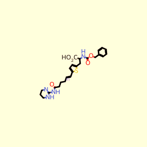 O=C(CCC/C=C/c1ccc(CC(NC(=O)OCc2ccccc2)C(=O)O)s1)NC1=NCCCN1